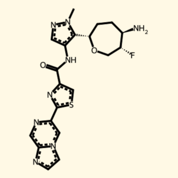 Cn1ncc(NC(=O)c2csc(-c3cn4ccnc4cn3)n2)c1[C@@H]1CC[C@@H](N)[C@H](F)CO1